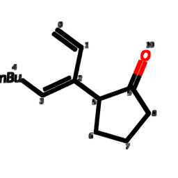 C=CC(=CCCCC)C1CCCC1=O